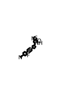 N#Cc1ccc(N2CCN([C@H]3C=C(c4cc5ncsc5c(=O)[nH]4)CC3)CC2)c(F)c1